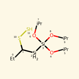 CCC([SiH2][Si](OC(C)C)(OC(C)C)OC(C)C)SS